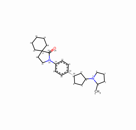 CC1CCCN1C1CC[C@H](c2ccc(N3CCC4(CCCCC4)C3=O)cc2)C1